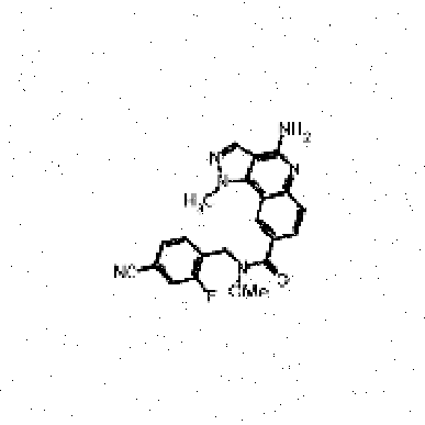 CON(Cc1ccc(C#N)cc1F)C(=O)c1ccc2nc(N)c3cnn(C)c3c2c1